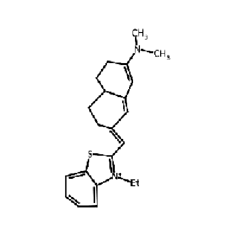 CC[n+]1c(/C=C2/C=C3C=C(N(C)C)CCC3CC2)sc2ccccc21